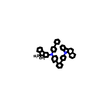 CC1(C)c2ccccc2-c2cc(N(c3ccc(-c4ccccc4)cc3)c3ccc(-c4ccccc4-c4ccc(-n5c6c(c7ccccc75)C=CC5C=CC=CC65)cc4)cc3)ccc21